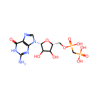 Nc1nc2c(ncn2[C@@H]2O[C@H](COP(=O)(O)CP(=O)(O)O)C(O)C2O)c(=O)[nH]1